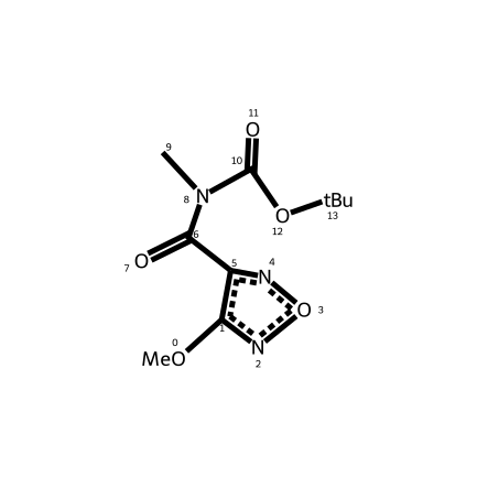 COc1nonc1C(=O)N(C)C(=O)OC(C)(C)C